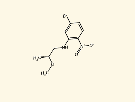 CO[C@@H](C)CNc1cc(Br)ccc1[N+](=O)[O-]